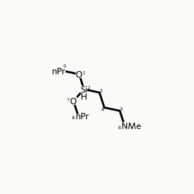 CCCO[SiH](CCCNC)OCCC